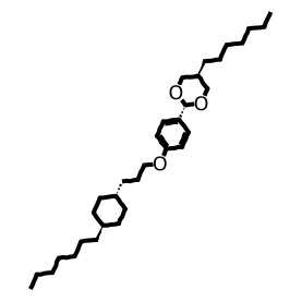 CCCCCCC[C@H]1CC[C@H](CCCOc2ccc([C@H]3OC[C@H](CCCCCCC)CO3)cc2)CC1